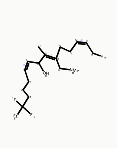 CCC(F)(F)CCC/C=C\C(O)/C(C)=C(/CC/C=C\CF)CNC